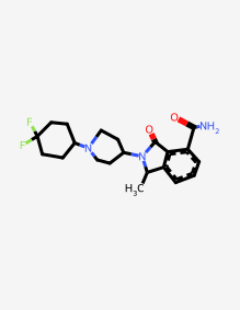 CC1c2cccc(C(N)=O)c2C(=O)N1C1CCN(C2CCC(F)(F)CC2)CC1